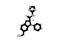 C[C@@]1(C(=O)Nc2nncs2)Cc2ccc(CO)cc2[C@@H]1c1ccccc1